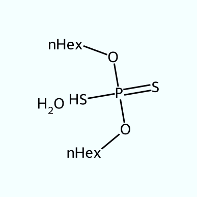 CCCCCCOP(=S)(S)OCCCCCC.O